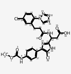 COC(=O)Nc1ccc(-c2nc(C(CC(=O)O)NC(=O)CCc3cc(Cl)ccc3-n3cnnn3)[nH]c2Cl)cc1